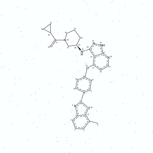 Cc1cccc2nc(-c3ccc(Oc4ccnc5[nH]nc(N[C@@H]6CCCN(C(=O)C7CC7)C6)c45)cc3)oc12